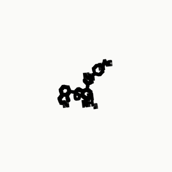 CC(=O)N1CCC(n2cc(-c3cnc(N)c4oc(-c5cccc6ccncc56)cc34)cn2)CC1